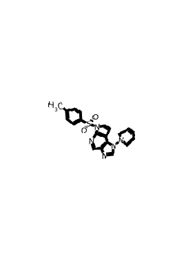 Cc1ccc(S(=O)(=O)n2ccc3c4c(cnc32)ncn4N2C=CC=CC2)cc1